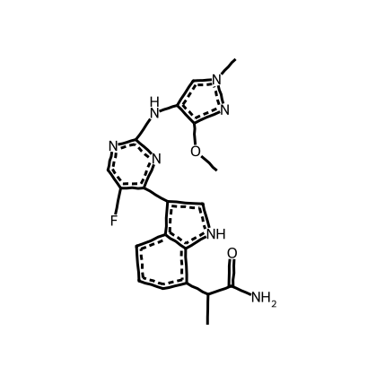 COc1nn(C)cc1Nc1ncc(F)c(-c2c[nH]c3c(C(C)C(N)=O)cccc23)n1